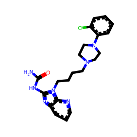 NC(=O)Nc1nc2cccnc2n1CCCCN1CCN(c2ccccc2Cl)CC1